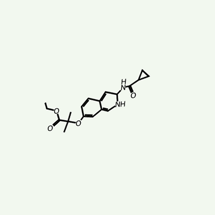 CCOC(=O)C(C)(C)Oc1ccc2c(c1)=CNC(NC(=O)C1CC1)C=2